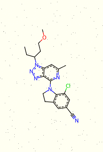 CCC(CCOC)n1nnc2c(N3CCc4cc(C#N)cc(Cl)c43)nc(C)cc21